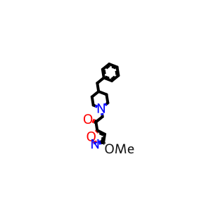 COc1cc(C(=O)CN2CCC(Cc3ccccc3)CC2)on1